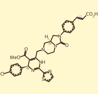 COC(=O)C1=C(CN2CCN3C(=O)N(c4ccc(/C=C/C(=O)O)cc4)C[C@@H]3C2)NC(c2nccs2)=N[C@H]1c1ccc(Cl)cc1